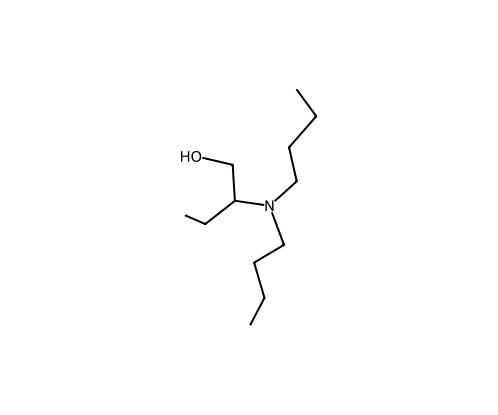 CCCCN(CCCC)C(CC)CO